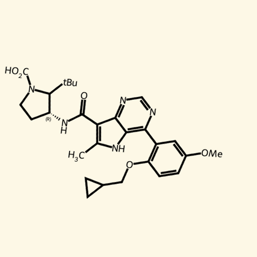 COc1ccc(OCC2CC2)c(-c2ncnc3c(C(=O)N[C@@H]4CCN(C(=O)O)C4C(C)(C)C)c(C)[nH]c23)c1